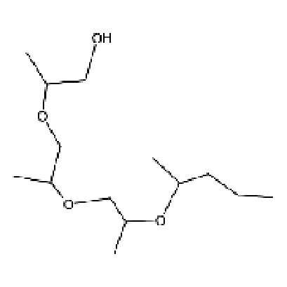 CCCC(C)OC(C)COC(C)COC(C)CO